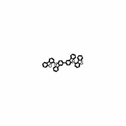 c1ccc2c(c1)oc1c(-n3c4ccccc4c4cc(-c5ccc6c(c5)c5ccccc5n6-c5cccc6sc7ccccc7c56)ccc43)cccc12